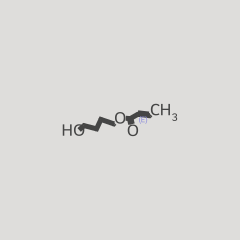 C/C=C/C(=O)OCCCCO